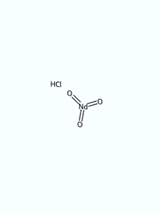 Cl.[O]=[Nd](=[O])=[O]